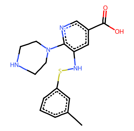 Cc1cccc(SNc2cc(C(=O)O)cnc2N2CCNCC2)c1